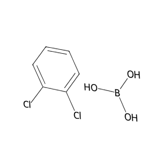 Clc1ccccc1Cl.OB(O)O